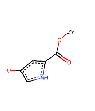 CC(C)OC(=O)c1cc([O])c[nH]1